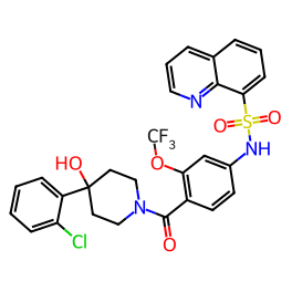 O=C(c1ccc(NS(=O)(=O)c2cccc3cccnc23)cc1OC(F)(F)F)N1CCC(O)(c2ccccc2Cl)CC1